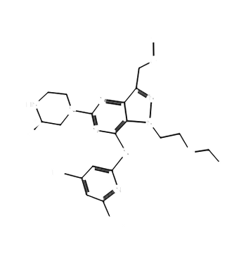 CCOCCn1nc(COC)c2nc(N3CCN[C@H](C)C3)nc(Nc3cc(C)cc(C)n3)c21